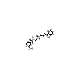 O=S(=O)(NCC1CN(CCOc2nsc3ccccc23)C1)c1cccc(O)c1